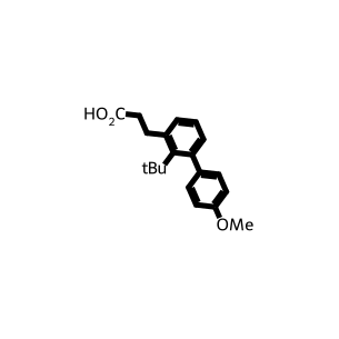 COc1ccc(-c2cccc(CCC(=O)O)c2C(C)(C)C)cc1